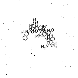 CC(C)C[C@H](NC(=O)[C@H](CC(C)C)NC(=O)[C@H](CO)NC(=O)[C@@H](N)Cc1ccccc1)C(=O)N[C@@H](CCCN=C(N)N)C(=O)N[C@@H](Cc1ccc(O)cc1)C(N)=O